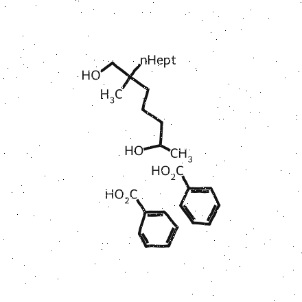 CCCCCCCC(C)(CO)CCCC(C)O.O=C(O)c1ccccc1.O=C(O)c1ccccc1